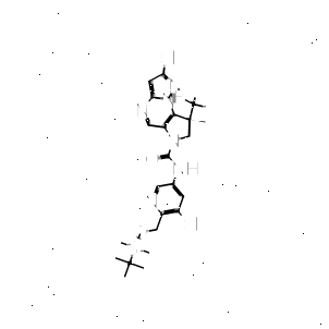 CC(C)(C)[Si](C)(C)OCc1ncc(NC(=O)N2C[C@@](C)(C(F)(F)F)c3c2cnc2cc(Cl)nn32)cc1Cl